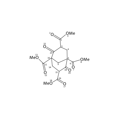 COC(=O)C1CC2(C(=O)OC)CC(C(=O)OC)(CC(C(=O)OC)C2=O)C1=O